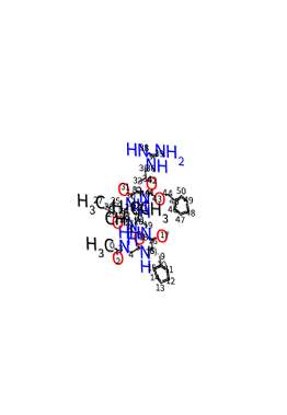 CC(=O)NCC(=O)N[C@@H](Cc1ccccc1)C(=O)NC[C@@H](NC(=O)[C@H](CC(C)C)NC(=O)[C@H](CCCNC(=N)N)NC(=O)OCc1ccccc1)C(C)C